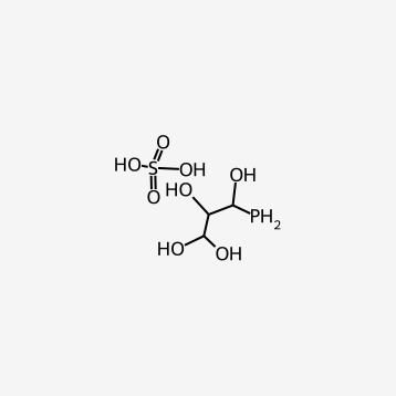 O=S(=O)(O)O.OC(O)C(O)C(O)P